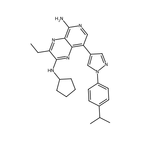 CCc1nc2c(N)ncc(-c3cnn(-c4ccc(C(C)C)cc4)c3)c2nc1NC1CCCC1